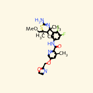 COC[C@@]1(C)SC(N)=N[C@](C)(c2cc(NC(=O)c3ncc(OCc4ncco4)cc3C)cc(F)c2F)C1C